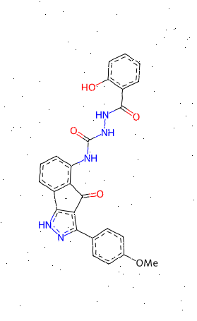 COc1ccc(-c2n[nH]c3c2C(=O)c2c(NC(=O)NNC(=O)c4ccccc4O)cccc2-3)cc1